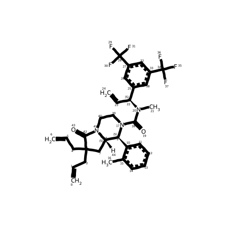 C=CCC1(CC=C)C[C@H]2[C@H](c3ccccc3C)N(C(=O)N(C)[C@@H](C=C)c3cc(C(F)(F)F)cc(C(F)(F)F)c3)CCN2C1=O